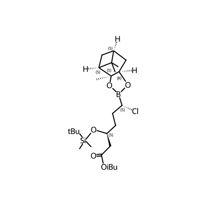 CC(C)COC(=O)C[C@H](CC[C@@H](Cl)B1O[C@@H]2C[C@@H]3C[C@@H](C3(C)C)[C@]2(C)O1)O[Si](C)(C)C(C)(C)C